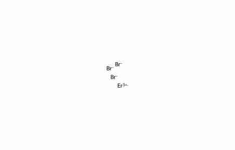 [Br-].[Br-].[Br-].[Er+3]